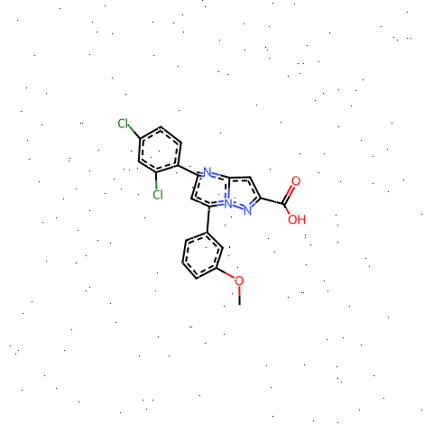 COc1cccc(-c2cc(-c3ccc(Cl)cc3Cl)nc3cc(C(=O)O)nn23)c1